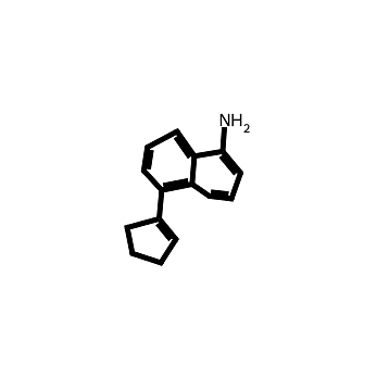 Nc1cccc2c(C3=CCCC3)cccc12